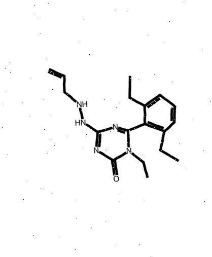 C=CCNNc1nc(-c2c(CC)cccc2CC)n(CC)c(=O)n1